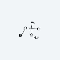 CCOP(=O)([O-])C(C)=O.[Na+]